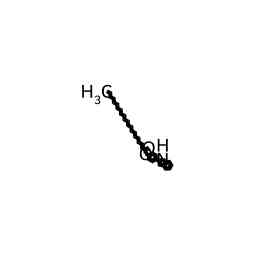 CCCCCCCCCCCCCCCCCCCCCC(=O)Oc1ccc(-c2cc3ccccc3[nH]2)cc1